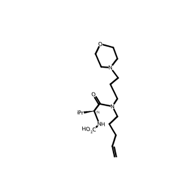 C=CCCCN(CCCN1CCOCC1)C(=O)[C@@H](NC(=O)O)C(C)C